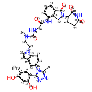 Cc1nnc(-c2cc(C(C)C)c(O)cc2O)n1-c1ccc2c(ccn2CCN(C)C(=O)NCC(=O)Nc2cccc3c2CN(C2CCC(=O)NC2=O)C3=O)c1